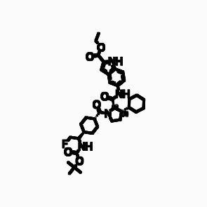 CCOC(=O)c1cc2cc(NC(=O)[C@@H]3[C@H](C4CCCCC4)CCN3C(=O)[C@H]3CC[C@H](C(CF)NC(=O)OC(C)(C)C)CC3)ccc2[nH]1